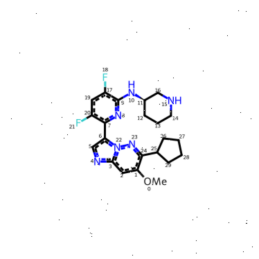 COc1cc2ncc(-c3nc(N[C@@H]4CCCNC4)c(F)cc3F)n2nc1C1CCCC1